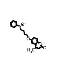 Cc1cc(=O)[nH]c2ccc(OCCCC[S+]([O-])c3ccccc3)cc12